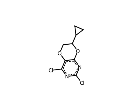 Clc1nc(Cl)c2c(n1)OC(C1CC1)CO2